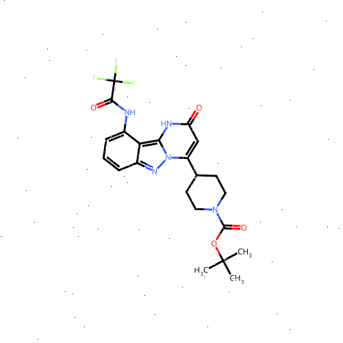 CC(C)(C)OC(=O)N1CCC(c2cc(=O)[nH]c3c4c(NC(=O)C(F)(F)F)cccc4nn23)CC1